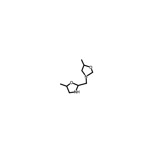 CC1CN(CC2NCC(C)O2)CO1